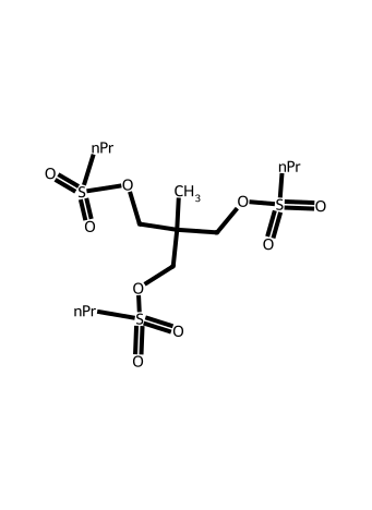 CCCS(=O)(=O)OCC(C)(COS(=O)(=O)CCC)COS(=O)(=O)CCC